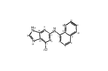 Clc1nc(Nc2cccc3cccnc23)nc2[nH]cnc12